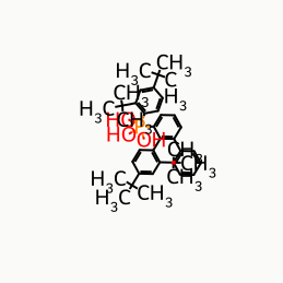 CC(C)(C)c1ccc(-c2c(-c3ccccc3)cccc2P(O)(O)(O)c2ccc(C(C)(C)C)cc2C(C)(C)C)c(C(C)(C)C)c1